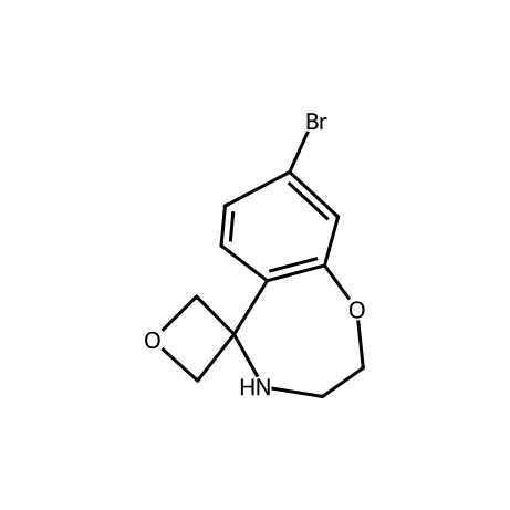 Brc1ccc2c(c1)OCCNC21COC1